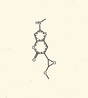 CNc1cc2oc(=O)c(C3OC3OC)cc2s1